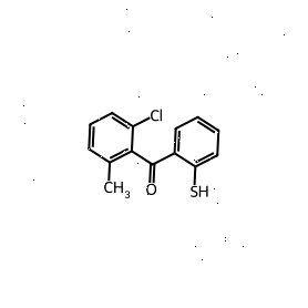 Cc1cccc(Cl)c1C(=O)c1ccccc1S